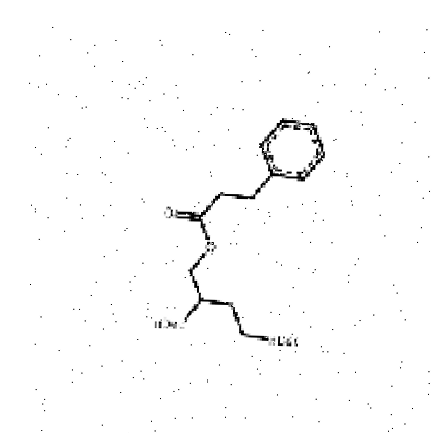 CCCCCCCCCCCCC(CCCCCCCCCC)COC(=O)CCc1ccccc1